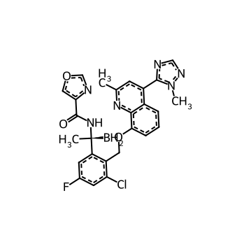 B[C@@](C)(NC(=O)c1cocn1)c1cc(F)cc(Cl)c1COc1cccc2c(-c3ncnn3C)cc(C)nc12